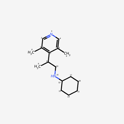 Cc1cncc(C)c1C(C)CNC1CCCCC1